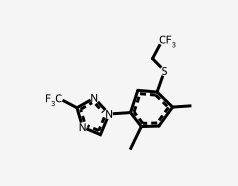 Cc1cc(C)c(-n2cnc(C(F)(F)F)n2)cc1SCC(F)(F)F